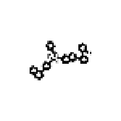 c1ccc(-c2nc(-c3ccc(-c4cccc5ccccc45)cc3)nc(-c3ccc4cc(-c5cccc6oc7ccccc7c56)ccc4c3)n2)cc1